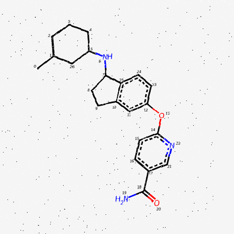 CC1CCCC(NC2CCc3cc(Oc4ccc(C(N)=O)cn4)ccc32)C1